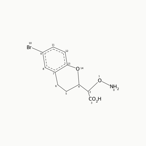 NOC(C(=O)O)C1CCc2cc(Br)ccc2O1